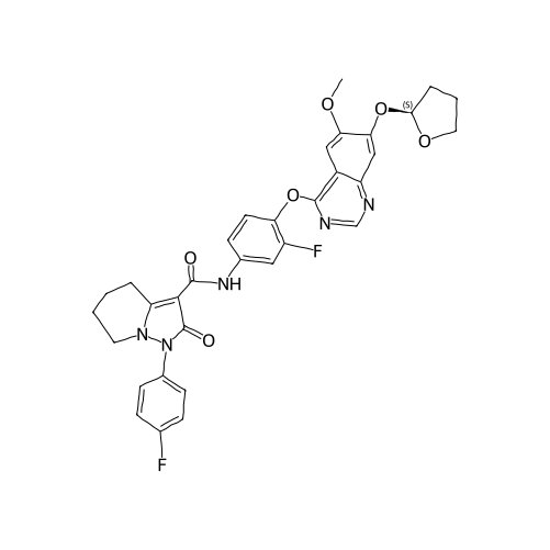 COc1cc2c(Oc3ccc(NC(=O)c4c5n(n(-c6ccc(F)cc6)c4=O)CCCC5)cc3F)ncnc2cc1O[C@H]1CCCO1